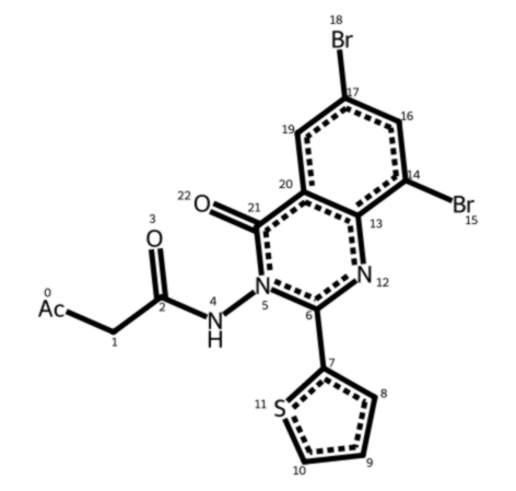 CC(=O)CC(=O)Nn1c(-c2cccs2)nc2c(Br)cc(Br)cc2c1=O